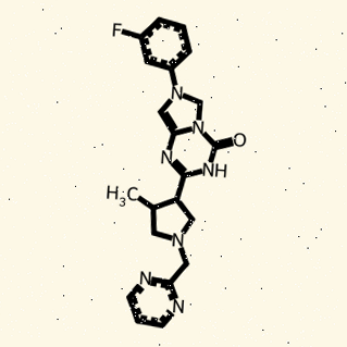 CC1CN(Cc2ncccn2)CC1C1=NC2=CN(c3cccc(F)c3)CN2C(=O)N1